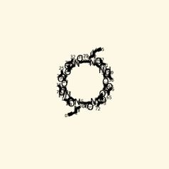 C#CCCC[C@@H]1NC(=O)C(C(C)C)NC(=O)[C@@H](C(C)C)OC(=O)[C@@H](C(C)C)OC(=O)[C@@H](C(C)C)N(C)C(=O)[C@H](C)[C@@H](CCCC#C)NC(=O)[C@@H](C(C)C)NC(=O)[C@@H](C(C)C)OC(=O)[C@@H](C(C)C)OC(=O)[C@@H](C(C)C)N(C)C(=O)[C@H]1C